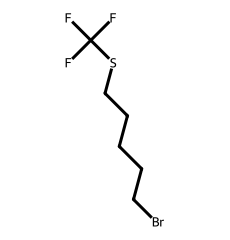 FC(F)(F)SCCCCCBr